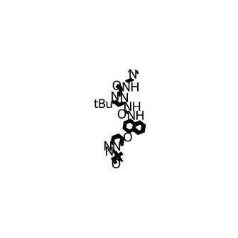 CN(C)CCNC(=O)c1nc(NC(=O)N[C@H]2CC[C@@H](Oc3ccc4nnc(C5(C)COC5)n4c3)c3ccccc32)cc(C(C)(C)C)n1